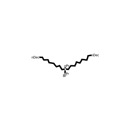 CCCCCCCCCCCCCCCCCC[P+](CCC)(CCC)CCCCCCCCCCCCCCCCCC.[Br-]